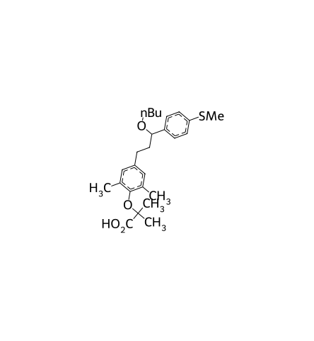 CCCCOC(CCc1cc(C)c(OC(C)(C)C(=O)O)c(C)c1)c1ccc(SC)cc1